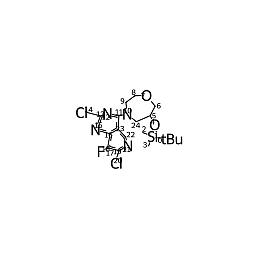 CC(C)(C)[Si](C)(C)OC1COCCN(c2nc(Cl)nc3c(F)c(Cl)ncc23)C1